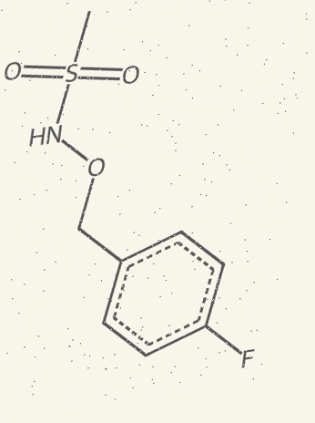 CS(=O)(=O)NOCc1ccc(F)cc1